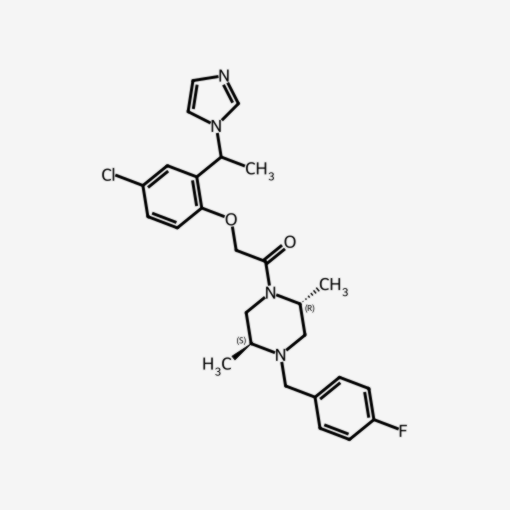 CC(c1cc(Cl)ccc1OCC(=O)N1C[C@H](C)N(Cc2ccc(F)cc2)C[C@H]1C)n1ccnc1